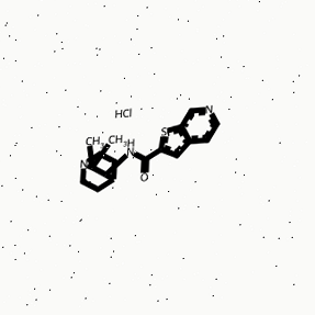 CC1(C)C(NC(=O)c2cc3ccncc3s2)C2CCN1CC2.Cl